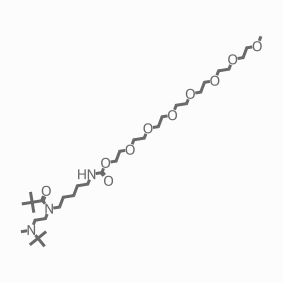 COCCOCCOCCOCCOCCOCCOCCOC(=O)NCCCCCN(CCN(C)C(C)(C)C)C(=O)C(C)(C)C